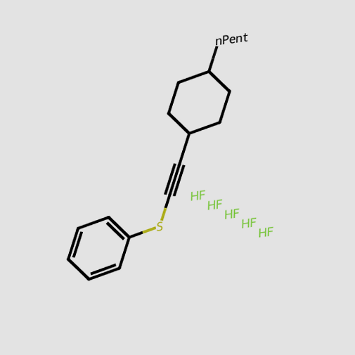 CCCCCC1CCC(C#CSc2ccccc2)CC1.F.F.F.F.F